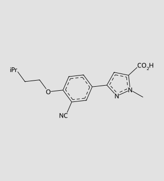 CC(C)CCOc1ccc(-c2cc(C(=O)O)n(C)n2)cc1C#N